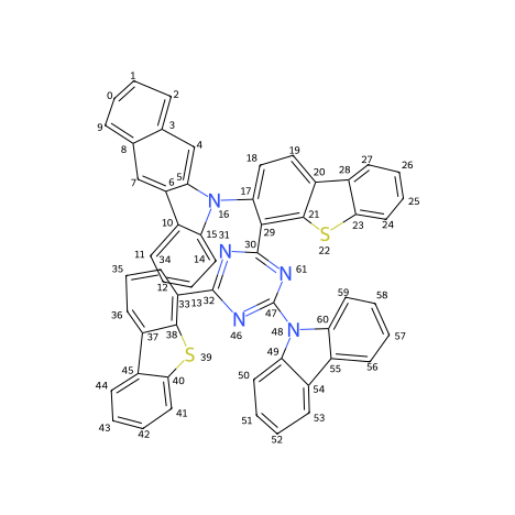 c1ccc2cc3c(cc2c1)c1ccccc1n3-c1ccc2c(sc3ccccc32)c1-c1nc(-c2cccc3c2sc2ccccc23)nc(-n2c3ccccc3c3ccccc32)n1